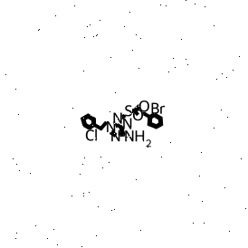 Nc1ncn(CCc2ccccc2Cl)c2nc(SC3=COC(c4ccccc4Br)O3)nc1-2